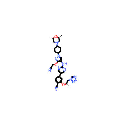 C[C@@H]1CN(C2CCC(n3cc(Nc4ncc(-c5ccc(C#N)c(O[C@@H](C)Cn6cnnn6)c5)cn4)c(OCC#N)n3)CC2)C[C@H](C)O1